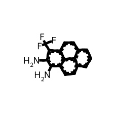 Nc1c(N)c2ccc3cccc4ccc(c1C(F)(F)F)c2c34